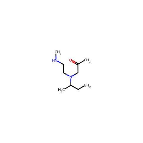 BCC(C)N(CCNC)CC(C)=O